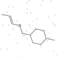 [CH2]C1CCC(COC=CC)CC1